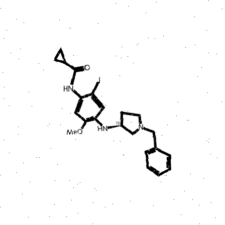 COc1cc(NC(=O)C2CC2)c(I)cc1N[C@H]1CCN(Cc2ccccc2)C1